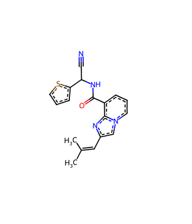 CC(C)=Cc1cn2cccc(C(=O)NC(C#N)c3cccs3)c2n1